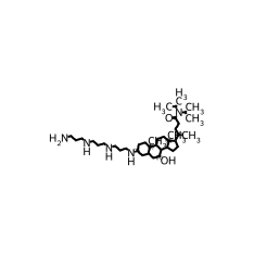 CC(C)N(C(=O)CC[C@@H](C)C1CCC2C3C(CC[C@@]21C)[C@@]1(C)CC[C@H](NCCCNCCCNCCCN)CC1C[C@H]3O)C(C)C